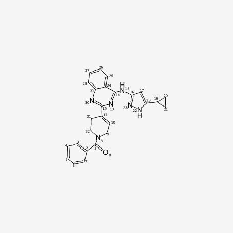 O=C(c1ccccc1)N1CC=C(c2nc(Nc3cc(C4CC4)[nH]n3)c3ccccc3n2)CC1